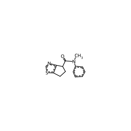 CN(C(=O)C1CCc2scnc21)c1ccccc1